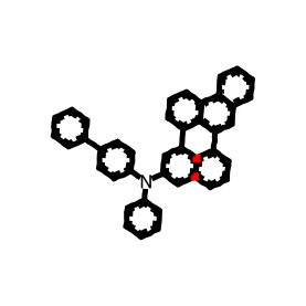 c1ccc(-c2ccc(N(c3ccccc3)c3cccc(-c4cccc5c4c(-c4ccccc4)cc4ccccc45)c3)cc2)cc1